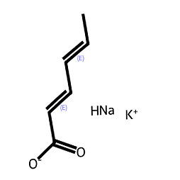 C/C=C/C=C/C(=O)[O-].[K+].[NaH]